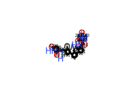 COc1cc(-c2cccc(-c3cccc(NC(=O)c4nn(C)c(=O)n(C)c4=O)c3C)c2C)cc(F)c1CN[C@H]1CCC(=O)NC1=O